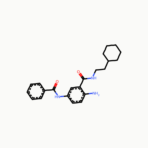 Nc1ccc(NC(=O)c2ccccc2)cc1C(=O)NCCC1CCCCC1